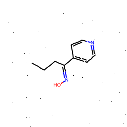 CCCC(=NO)c1ccncc1